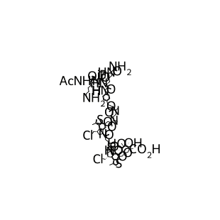 CC(=O)N[C@@H](CCCCN)C(=O)N[C@H](C(=O)N[C@@H](CCCNC(N)=O)C(=O)Nc1ccc(COC(=O)N(C)CCN(C)C(=O)Oc2cc3c(c4c(C)csc24)[C@H](CCl)CN3C(=O)CCCC(=O)N2C[C@@H](CCl)c3c2cc(O[C@@H]2O[C@H](C(=O)O)[C@@H](O)[C@H](O)[C@H]2O)c2scc(C)c32)cc1)C(C)C